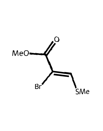 COC(=O)/C(Br)=C/SC